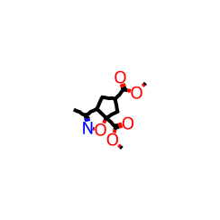 COC(=O)C1CC2C(C)=NOC2(C(=O)OC)C1